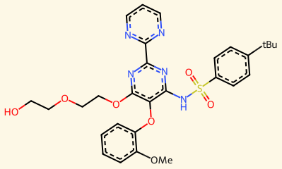 COc1ccccc1Oc1c(NS(=O)(=O)c2ccc(C(C)(C)C)cc2)nc(-c2ncccn2)nc1OCCOCCO